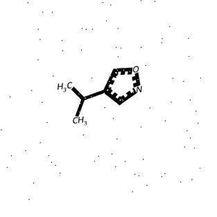 CC(C)c1[c]noc1